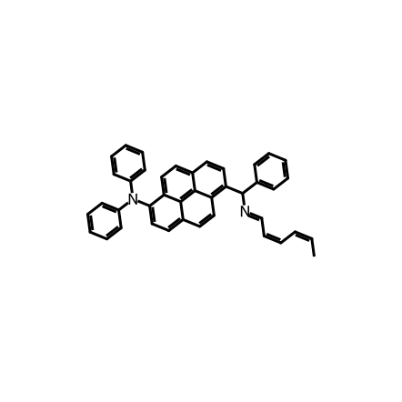 C\C=C/C=C\C=N\C(c1ccccc1)c1ccc2ccc3c(N(c4ccccc4)c4ccccc4)ccc4ccc1c2c43